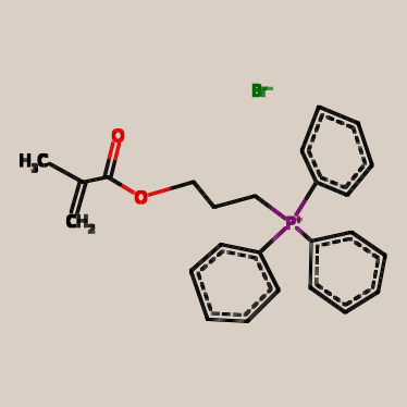 C=C(C)C(=O)OCCC[P+](c1ccccc1)(c1ccccc1)c1ccccc1.[Br-]